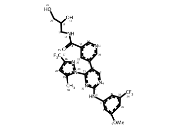 COc1cc(Nc2ncc(-c3cncc(C(=O)NCC(O)CO)c3)c(-n3nc(C(F)(F)F)cc3C)n2)cc(C(F)(F)F)c1